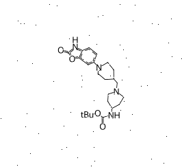 CC(C)(C)OC(=O)NC1CCN(CC2CCN(c3ccc4[nH]c(=O)oc4c3)CC2)CC1